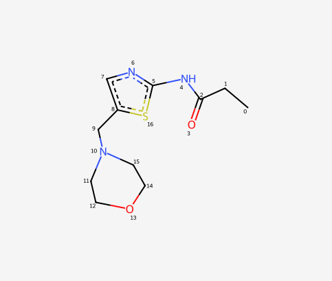 CCC(=O)Nc1ncc(CN2CCOCC2)s1